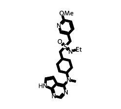 CCN=S(=O)(Cc1ccc(OC)nc1)CC1CCC(N(C)c2ncnc3[nH]ccc23)CC1